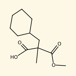 COC(=O)C(C)(CC1CCCCC1)C(=O)O